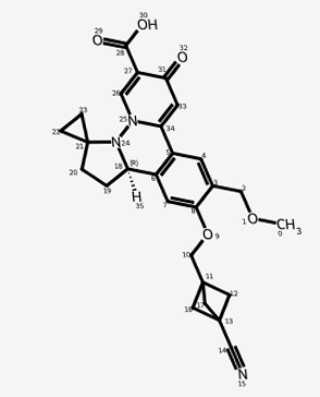 COCc1cc2c(cc1OCC13CC(C#N)(C1)C3)[C@H]1CCC3(CC3)N1n1cc(C(=O)O)c(=O)cc1-2